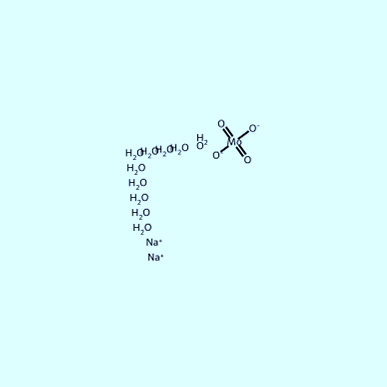 O.O.O.O.O.O.O.O.O.O.[Na+].[Na+].[O]=[Mo](=[O])([O-])[O-]